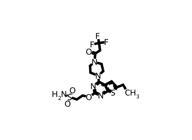 CCc1cc2c(N3CCN(C(=O)CC(F)(F)F)CC3)nc(OCCS(N)(=O)=O)nc2s1